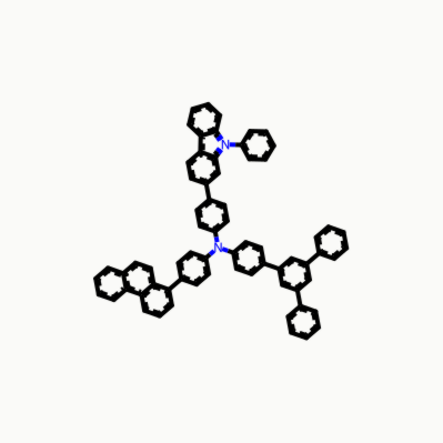 c1ccc(-c2cc(-c3ccccc3)cc(-c3ccc(N(c4ccc(-c5ccc6c7ccccc7n(-c7ccccc7)c6c5)cc4)c4ccc(-c5cccc6c5ccc5ccccc56)cc4)cc3)c2)cc1